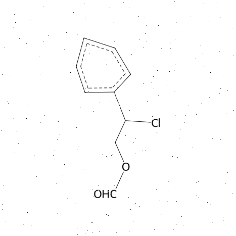 O=COCC(Cl)c1ccccc1